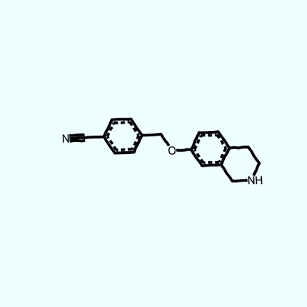 N#Cc1ccc(COc2ccc3c(c2)CNCC3)cc1